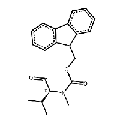 CC(C)[C@@H]([C]=O)N(C)C(=O)OCC1c2ccccc2-c2ccccc21